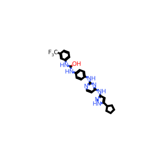 OC(Nc1ccc(Nc2nccc(Nc3cc(C4CCCC4)[nH]n3)n2)cc1)Nc1cccc(C(F)(F)F)c1